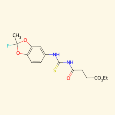 CCOC(=O)CCC(=O)NC(=S)Nc1ccc2c(c1)OC(C)(F)O2